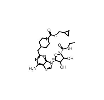 CCNC(=O)[C@H]1O[C@@H](n2cnc3c(N)nc(CC4CCN(C(=O)OCC5CC5)CC4)nc32)C(O)C1O